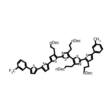 CCCCCCCCCCCCc1cc(-c2cccc(C)c2)sc1-c1nc(CCCCCCCCCCCC)c(-c2sc(-c3sc(-c4ccc(-c5ccc(-c6cccc(C(F)(F)F)c6)s5)s4)cc3CCCCCCCCCCCC)nc2CCCCCCCCCCCC)s1